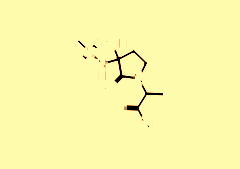 CC(C(N)=O)N1CCC(O)(NS(C)(=O)=O)C1=O